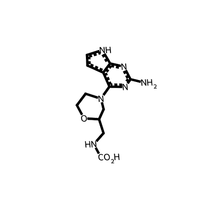 Nc1nc(N2CCOC(CNC(=O)O)C2)c2cc[nH]c2n1